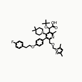 Cc1cc(C)n(COCc2nc(C)c(C(OC(C)(C)C)C(=O)O)c(N3CCC(C)(C)CC3)c2-c2ccc(OCCc3ccc(F)cc3)cc2)n1